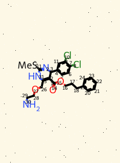 CSC1=NC(c2ccc(Cl)c(Cl)c2)C(C(=O)OCCCc2ccccc2)=C(COCCN)N1